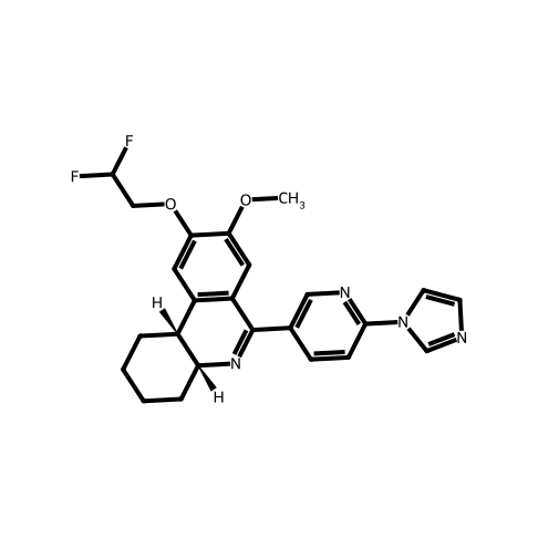 COc1cc2c(cc1OCC(F)F)[C@H]1CCCC[C@H]1N=C2c1ccc(-n2ccnc2)nc1